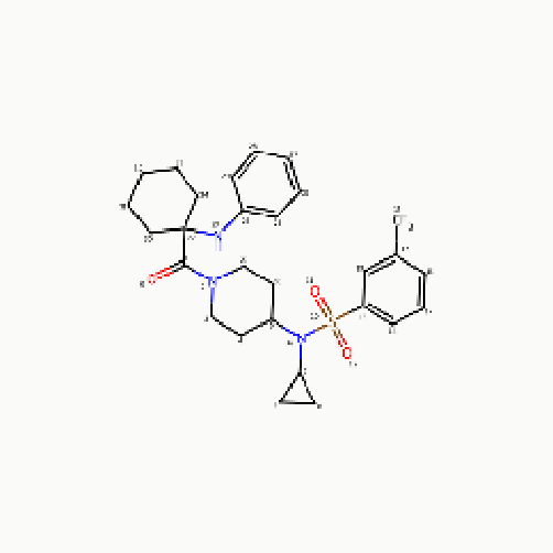 O=C(N1CCC(N(C2CC2)S(=O)(=O)c2cccc(C(F)(F)F)c2)CC1)C1(Nc2ccccc2)CCCCC1